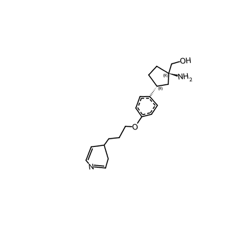 N[C@]1(CO)CC[C@@H](c2ccc(OCCCC3C=CN=CC3)cc2)C1